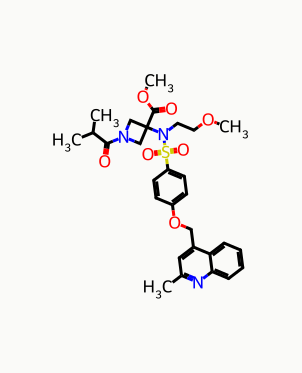 COCCN(C1(C(=O)OC)CN(C(=O)C(C)C)C1)S(=O)(=O)c1ccc(OCc2cc(C)nc3ccccc23)cc1